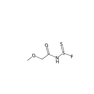 COCC(=O)NS(F)=S